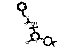 CC1(C)CCN(c2cc(C(C)(C)NC(=O)OCc3ccccc3)cc(Cl)n2)CC1